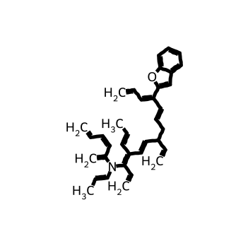 C=C/C=C\C(=C)N(/C=C/C)/C(C=C)=C(\C=C\C)/C=C/C(C=C)C/C=C/C(=C/C=C)c1cc2ccccc2o1